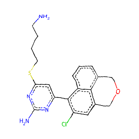 NCCCCSc1cc(-c2c(Cl)cc3c4c(cccc24)COC3)nc(N)n1